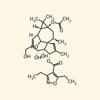 CCc1noc(CC)c1C(=O)O[C@H]1C(C)=C[C@]23C(O)[C@@H](C=C(CO)[C@@H](O)[C@]12O)[C@@H]1C(C)(C)[C@]1(OC(C)=O)C[C@H]3C